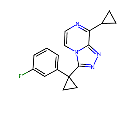 Fc1cccc(C2(c3nnc4c(C5CC5)nccn34)CC2)c1